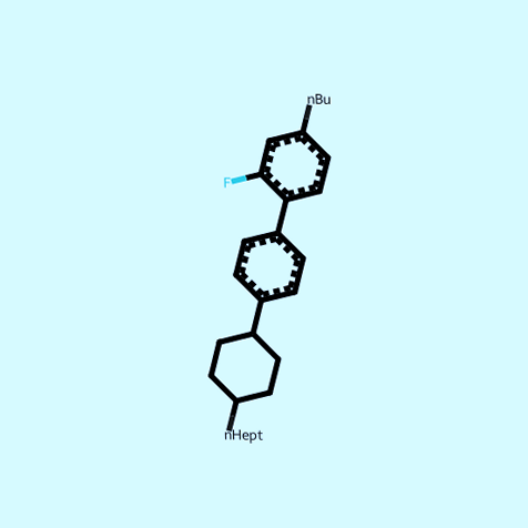 CCCCCCCC1CCC(c2ccc(-c3ccc(CCCC)cc3F)cc2)CC1